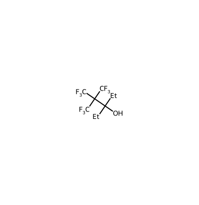 CCC(O)(CC)C(C(F)(F)F)(C(F)(F)F)C(F)(F)F